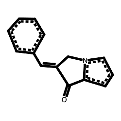 O=C1C(=Cc2ccccc2)Cn2cccc21